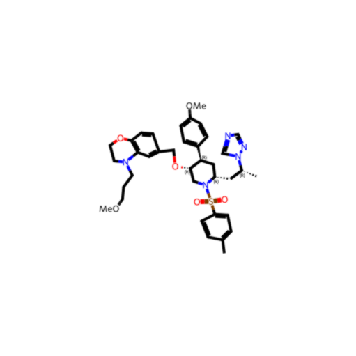 COCCCN1CCOc2ccc(CO[C@H]3CN(S(=O)(=O)c4ccc(C)cc4)[C@@H](C[C@@H](C)n4cncn4)C[C@@H]3c3ccc(OC)cc3)cc21